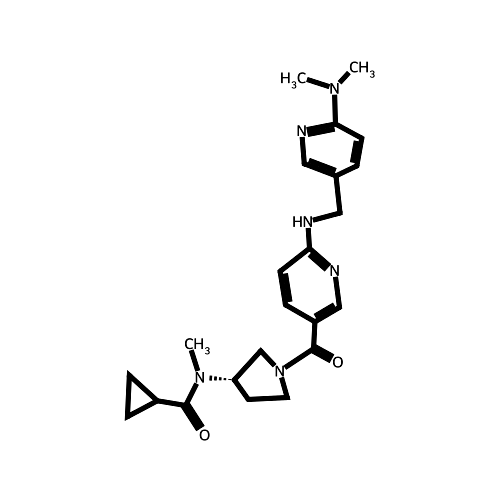 CN(C)c1ccc(CNc2ccc(C(=O)N3CC[C@H](N(C)C(=O)C4CC4)C3)cn2)cn1